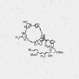 C=C1C[C@@H]2C[C@@H]3C[C@@H](O)C[C@@H](O3)c3coc(n3)/C=C/C[C@H]3O[C@H](/C(C)=C/c4coc(C[C@]5(O)C[C@H](OC)C[C@H]([C@H](O)/C=C(C)/C=C/C(C/C=C/Br)OC)O5)n4)[C@H](C)[C@@H](OC(=O)/C=C\C[C@@H](C1)O2)[C@H]3C